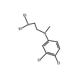 CCN(CC)CCN(C)c1ccc(Cl)c(Cl)c1